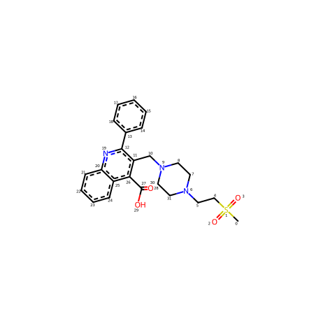 CS(=O)(=O)CCN1CCN(Cc2c(-c3ccccc3)nc3ccccc3c2C(=O)O)CC1